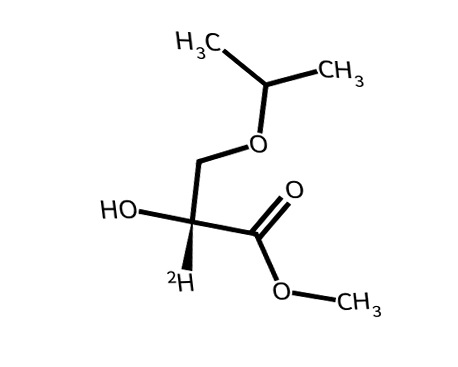 [2H][C@@](O)(COC(C)C)C(=O)OC